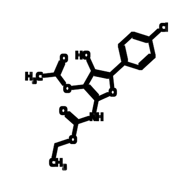 CCOC(=O)Nc1oc(-c2ccc(Cl)cc2)c(O)c1OC(C)=O